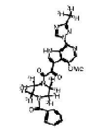 [2H]C([2H])([2H])c1ncn(-c2ncc(OC)c3c(C(=O)C(=O)N4C([2H])([2H])C([2H])([2H])N(C(=O)c5ccccc5)C([2H])([2H])C4([2H])[2H])c[nH]c23)n1